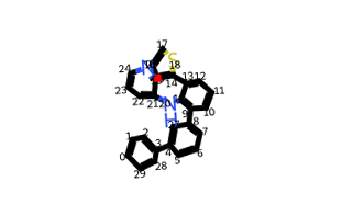 c1ccc(-c2cccc(-c3cccc(-c4cccs4)c3Nc3cccnc3)c2)cc1